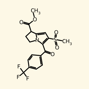 COC(=O)C1CCn2c1cc(S(C)(=O)=O)c2C(=O)c1ccc(C(F)(F)F)cc1